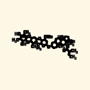 C/C=C(\C)C(=O)O[C@@H]1CC2C(CC=C3C[C@@H](OC4CC(OC)C(OC5CC(OC)C(OC6OC(C)C(O)C(C)C6O)C(C)O5)C(C)O4)CC[C@@]32C)[C@@]2(O)CCC(C(C)=O)[C@@]12C